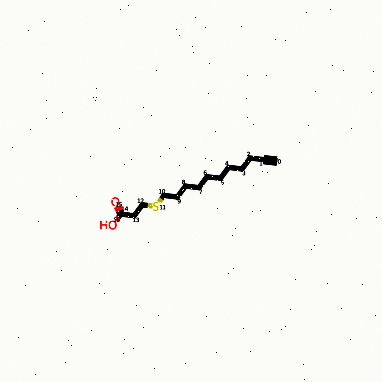 C#CCCCCCCCCCSCCC(=O)O